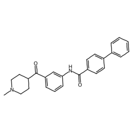 CN1CCC(C(=O)c2cccc(NC(=O)c3ccc(-c4ccccc4)cc3)c2)CC1